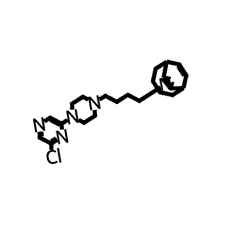 Clc1cncc(N2CCN(CCCCN3CC4C5C=CC(CCCC5)C4C3)CC2)n1